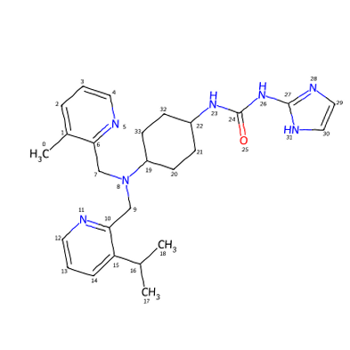 Cc1cccnc1CN(Cc1ncccc1C(C)C)C1CCC(NC(=O)Nc2ncc[nH]2)CC1